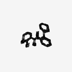 O=C(Nc1ccccc1-c1ccccc1)c1cccnc1Cl